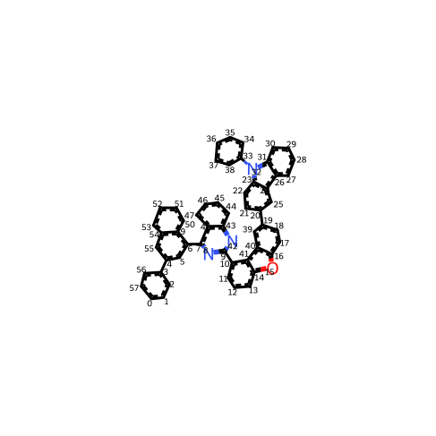 c1ccc(-c2cc(-c3nc(-c4cccc5oc6ccc(-c7ccc8c(c7)c7ccccc7n8-c7ccccc7)cc6c45)nc4ccccc34)c3ccccc3c2)cc1